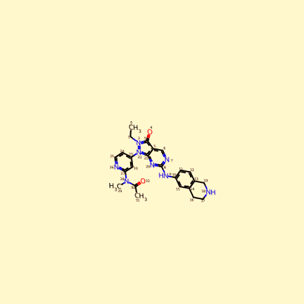 CCn1c(=O)c2cnc(Nc3ccc4c(c3)CCNC4)nc2n1-c1ccnc(N(C)C(C)=O)c1